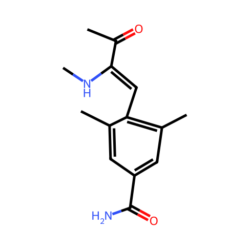 CN/C(=C\c1c(C)cc(C(N)=O)cc1C)C(C)=O